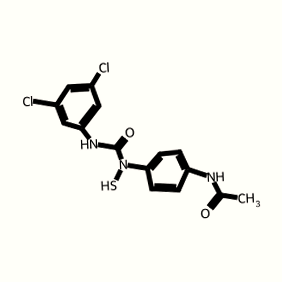 CC(=O)Nc1ccc(N(S)C(=O)Nc2cc(Cl)cc(Cl)c2)cc1